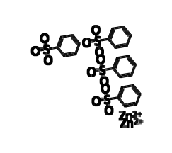 O=S(=O)([O-])c1ccccc1.O=S(=O)([O-])c1ccccc1.O=S(=O)([O-])c1ccccc1.O=S(=O)([O-])c1ccccc1.[Zn+2].[Zn+2]